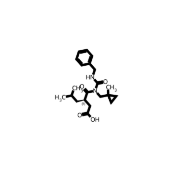 CC(C)C[C@H](CC(=O)O)C(=O)N(CC1(C)CC1)C(=O)NCc1ccccc1